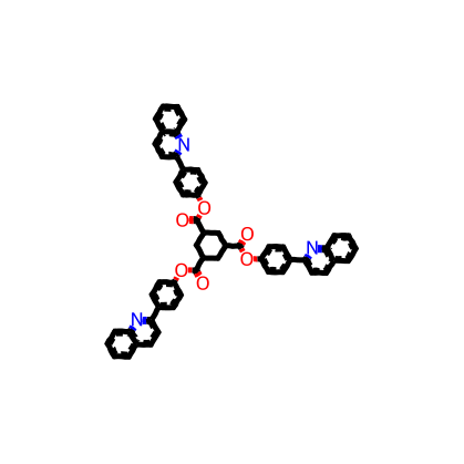 O=C(Oc1ccc(-c2ccc3ccccc3n2)cc1)C1CC(C(=O)Oc2ccc(-c3ccc4ccccc4n3)cc2)CC(C(=O)Oc2ccc(-c3ccc4ccccc4n3)cc2)C1